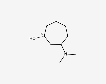 CN(C)C1CCCC[C@@H](O)C1